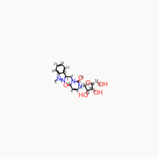 Cn1nc(Cn2c(=O)ccn([C@@H]3O[C@H](CO)[C@H](O)C3O)c2=O)c2ccccc21